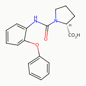 O=C(O)[C@H]1CCCN1C(=O)Nc1ccccc1Oc1ccccc1